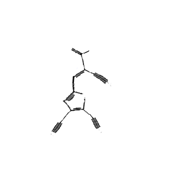 N#C/C(=C\c1cc(C#N)c(C#N)s1)C(=O)O